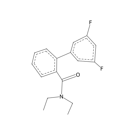 CCN(CC)C(=O)c1ccccc1-c1cc(F)cc(F)c1